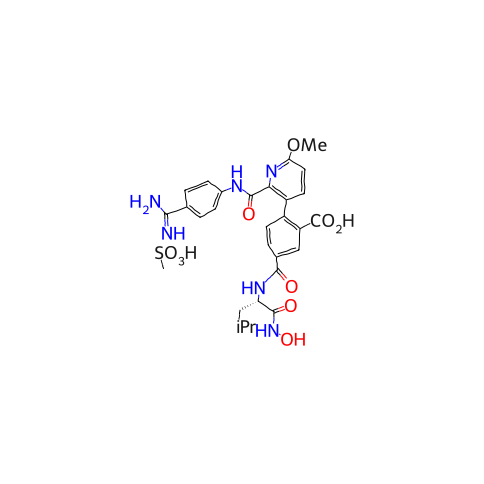 COc1ccc(-c2ccc(C(=O)N[C@@H](CC(C)C)C(=O)NO)cc2C(=O)O)c(C(=O)Nc2ccc(C(=N)N)cc2)n1.CS(=O)(=O)O